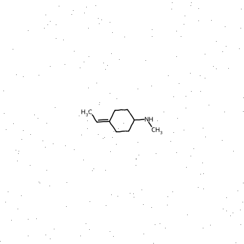 CC=C1CCC(NC)CC1